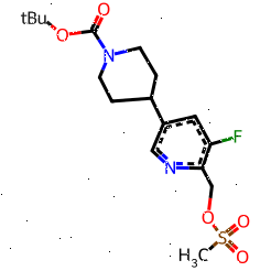 CC(C)(C)OC(=O)N1CCC(c2cnc(COS(C)(=O)=O)c(F)c2)CC1